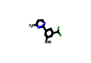 O=Cc1cc(-c2nccc(C(F)(F)F)n2)cc(C(F)F)c1